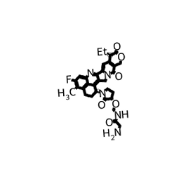 CC[C@H]1C(=O)OCc2c1cc1n(c2=O)Cc2c-1nc1cc(F)c(C)c3c1c2[C@@H](N1CCC(OCNC(=O)CN)C1=O)CC3